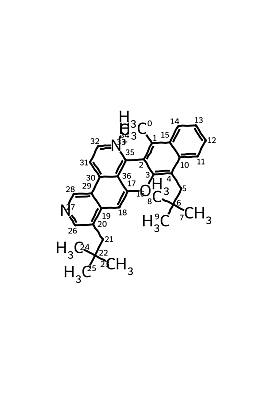 Cc1c2c(c(CC(C)(C)C)c3ccccc13)Oc1cc3c(CC(C)(C)C)cncc3c3cc[n+](C)c-2c13